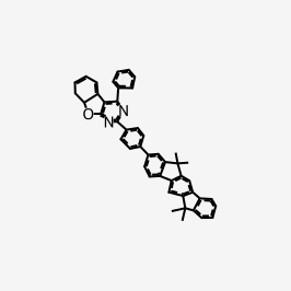 CC1(C)c2ccccc2-c2cc3c(cc21)-c1ccc(-c2ccc(-c4nc5c(c(-c6ccccc6)n4)C4=CC=CCC4O5)cc2)cc1C3(C)C